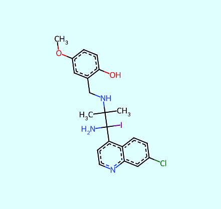 COc1ccc(O)c(CNC(C)(C)C(N)(I)c2ccnc3cc(Cl)ccc23)c1